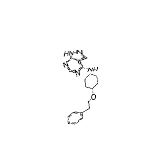 c1ccc(CCO[C@H]2CC[C@@H](Nc3ncnc4[nH]ncc34)CC2)cc1